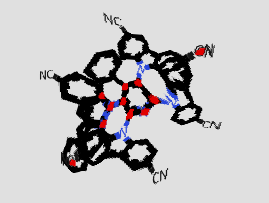 N#Cc1ccc2c(c1)c1cc(C#N)ccc1n2-c1nc(-n2c3ccc(C#N)cc3c3cc(C#N)ccc32)c(-n2c3ccc(C#N)cc3c3cc(C#N)ccc32)c(-c2ccccc2-c2ccc(-c3ccccc3)nc2-c2ccccc2)c1-n1c2ccc(C#N)cc2c2cc(C#N)ccc21